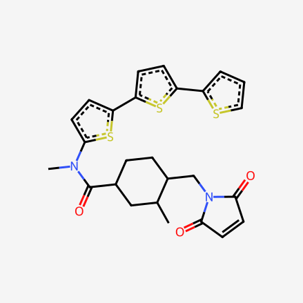 CC1CC(C(=O)N(C)c2ccc(-c3ccc(-c4cccs4)s3)s2)CCC1CN1C(=O)C=CC1=O